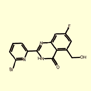 O=c1[nH]c(-c2cccc(Br)n2)nc2cc(F)cc(CO)c12